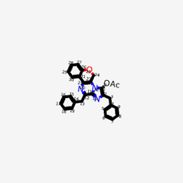 CC(=O)Oc1c(Cc2ccccc2)nc2c(Cc3ccccc3)nc3c(n12)COc1ccccc1-3